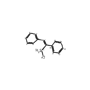 Cl[SiH2]C(=Cc1ccccc1)c1ccccc1